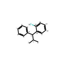 CC(C)C(c1ccccc1)c1ccccc1F